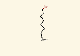 COCCCCCCCBr